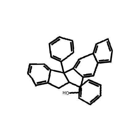 OCc1cc2ccccc2cc1C1(c2ccccc2)c2ccccc2CC1c1ccccc1